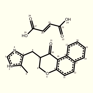 Cc1[nH]cnc1CC1COc2ccc3ccccc3c2C1=O.O=C(O)C=CC(=O)O